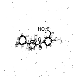 Cc1ccc(S(=O)(=O)C23CNC(c4cccc(F)c4)(CN2)C3)cc1CC(=O)O